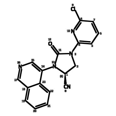 N#C[C@@H]1CN(c2cccc(Cl)n2)C(=O)N1c1cncc2ccccc12